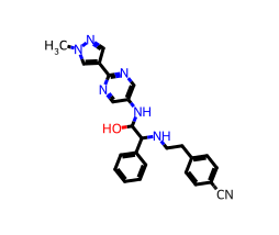 Cn1cc(-c2ncc(NC(O)C(NCCc3ccc(C#N)cc3)c3ccccc3)cn2)cn1